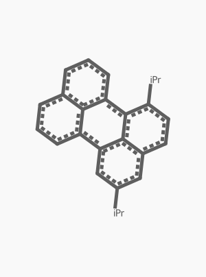 CC(C)c1cc2ccc(C(C)C)c3c4cccc5cccc(c(c1)c23)c54